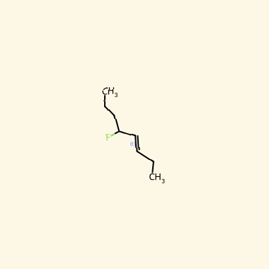 CC/C=C/C(F)CCC